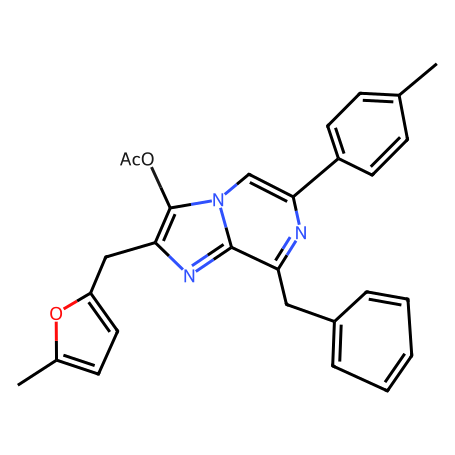 CC(=O)Oc1c(Cc2ccc(C)o2)nc2c(Cc3ccccc3)nc(-c3ccc(C)cc3)cn12